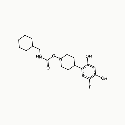 O=C(NCC1CCCCC1)ON1CCC(c2cc(F)c(O)cc2O)CC1